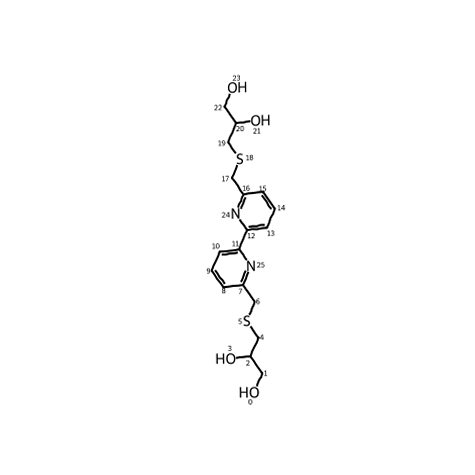 OCC(O)CSCc1cccc(-c2cccc(CSCC(O)CO)n2)n1